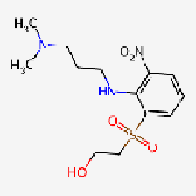 CN(C)CCCNc1c([N+](=O)[O-])cccc1S(=O)(=O)CCO